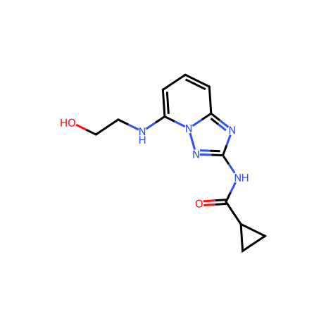 O=C(Nc1nc2cccc(NCCO)n2n1)C1CC1